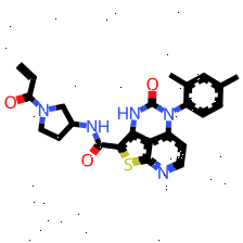 C=CC(=O)N1CCC(NC(=O)c2sc3nccc4c3c2NC(=O)N4c2ccc(C)cc2C)C1